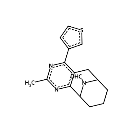 Cc1nc(-c2ccsc2)c2c(n1)C1CCCC(C2)N1C=O